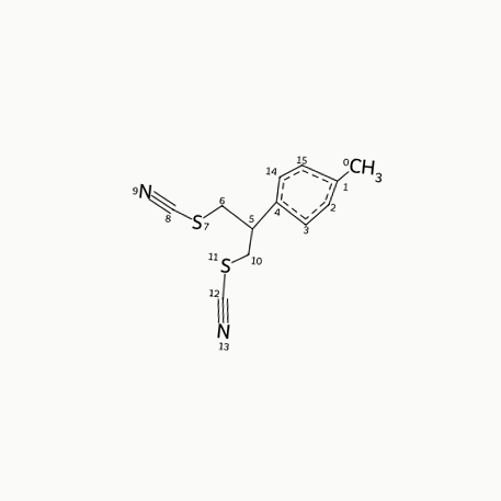 Cc1ccc(C(CSC#N)CSC#N)cc1